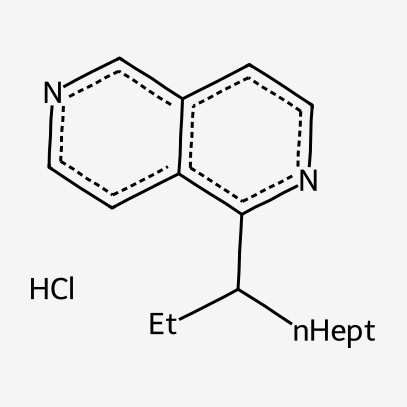 CCCCCCCC(CC)c1nccc2cnccc12.Cl